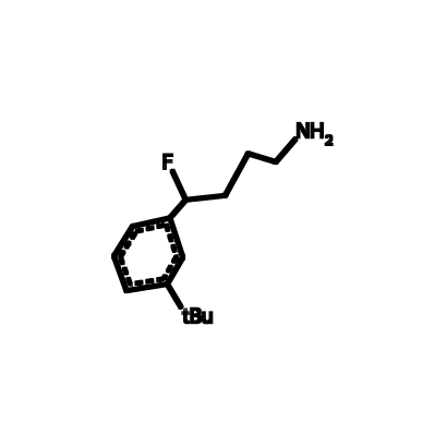 CC(C)(C)c1cccc(C(F)CCCN)c1